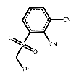 CC(C)CS(=O)(=O)c1cccc(C#N)c1C#N